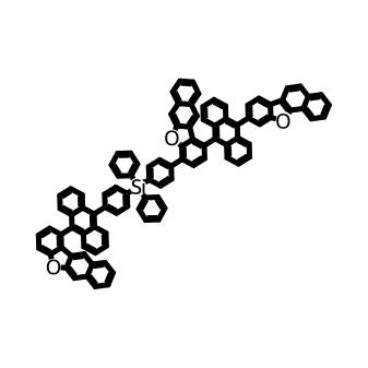 c1ccc([Si](c2ccccc2)(c2ccc(-c3c4ccccc4c(-c4cccc5oc6cc7ccccc7cc6c45)c4ccccc34)cc2)c2ccc(-c3ccc(-c4c5ccccc5c(-c5ccc6c(c5)oc5c7ccccc7ccc65)c5ccccc45)c4c3oc3cc5ccccc5cc34)cc2)cc1